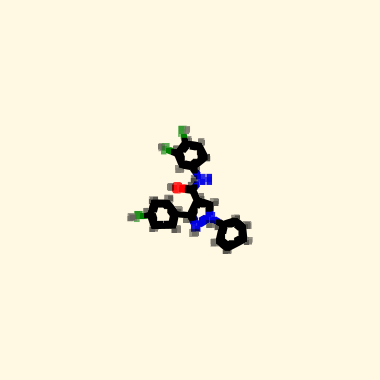 O=C(Nc1ccc(F)c(F)c1)c1cn(-c2ccccc2)nc1-c1ccc(F)cc1